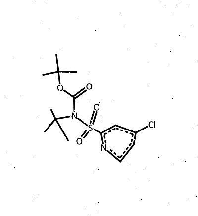 CC(C)(C)OC(=O)N(C(C)(C)C)S(=O)(=O)c1cc(Cl)ccn1